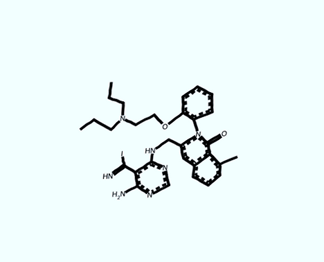 CCCN(CCC)CCOc1ccccc1-n1c(CNc2ncnc(N)c2C(=N)I)cc2cccc(C)c2c1=O